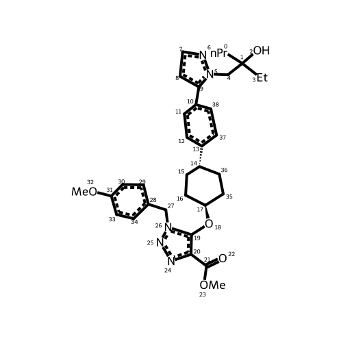 CCCC(O)(CC)Cn1nccc1-c1ccc([C@H]2CC[C@H](Oc3c(C(=O)OC)nnn3Cc3ccc(OC)cc3)CC2)cc1